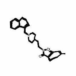 Cc1ccc2c(=O)n(CCC3CCN(Cc4cccc5ccccc45)CC3)oc2c1